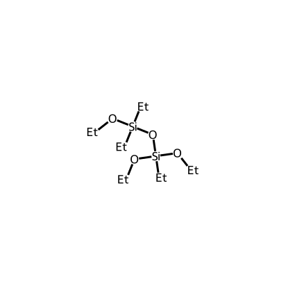 CCO[Si](CC)(CC)O[Si](CC)(OCC)OCC